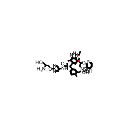 CCC1CN(Cc2cc([C@@H](c3ccc4c(nnn4CC)c3C)C(C)(C)C(=O)Nc3cnc(OCC(N)CO)nc3)ccc2C)S(O)(O)c2cccnc2O1